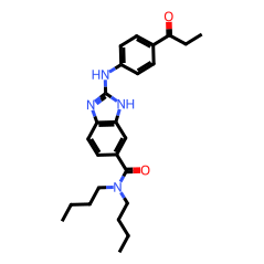 CCCCN(CCCC)C(=O)c1ccc2nc(Nc3ccc(C(=O)CC)cc3)[nH]c2c1